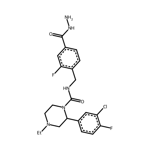 CCN1CCN(C(=O)NCc2ccc(C(=O)NN)cc2F)C(c2ccc(F)c(Cl)c2)C1